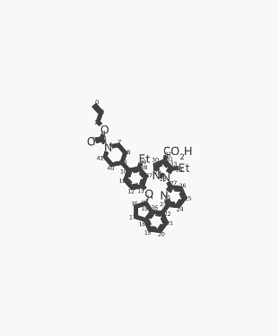 C=CCOC(=O)N1CCC(c2ccc(O[C@H]3CCc4cccc(-c5cccc(-n6ncc(C(=O)O)c6CC)n5)c43)cc2CC)CC1